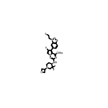 COc1nc(N[C@@H]2CCN(C3COC3)CC2(F)F)nn2cc(F)c(-c3ccc4nnn(CCF)c4c3)c12